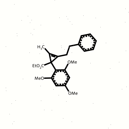 CCOC(=O)C1(c2c(OC)cc(OC)cc2OC)C(C)=C1CCc1ccccc1